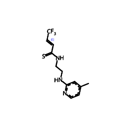 Cc1ccnc(NCCNC(=S)/C=C/C(F)(F)F)c1